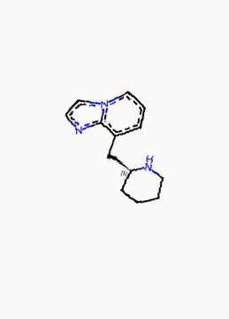 c1cc(C[C@@H]2CCCCN2)c2nccn2c1